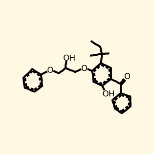 CCC(C)(C)c1cc(C(=O)c2ccccc2)c(O)cc1OCC(O)COc1ccccc1